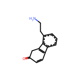 NCCc1cccc2c1C1=C2C=CC(=O)C1